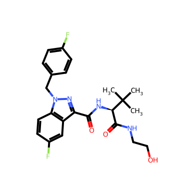 CC(C)(C)[C@H](NC(=O)c1nn(Cc2ccc(F)cc2)c2ccc(F)cc12)C(=O)NCCO